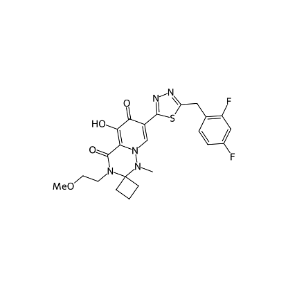 COCCN1C(=O)c2c(O)c(=O)c(-c3nnc(Cc4ccc(F)cc4F)s3)cn2N(C)C12CCC2